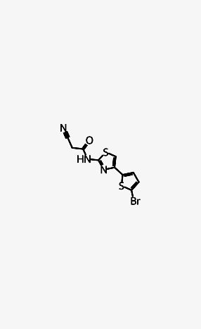 N#CCC(=O)Nc1nc(-c2ccc(Br)s2)cs1